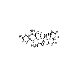 NC(=O)C1C(Cc2ccc(F)cc2)N(C(N)=O)CCN1S(=O)(=O)c1cccc2cccnc12